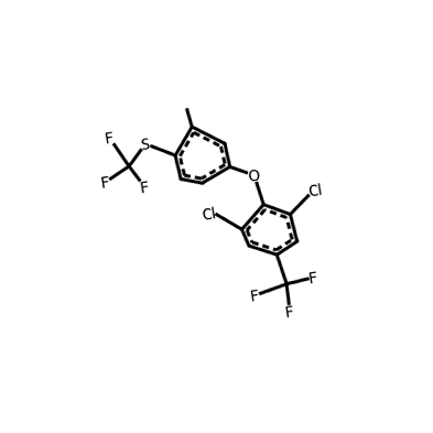 Cc1cc(Oc2c(Cl)cc(C(F)(F)F)cc2Cl)ccc1SC(F)(F)F